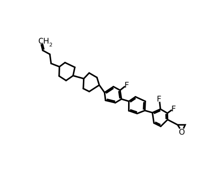 C=CCCC1CCC(C2CCC(c3ccc(-c4ccc(-c5ccc(C6CO6)c(F)c5F)cc4)c(F)c3)CC2)CC1